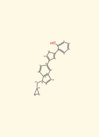 Oc1ccccc1C1=CC(c2ccc3c(c2)C=CC3CC2CC2)=CC1